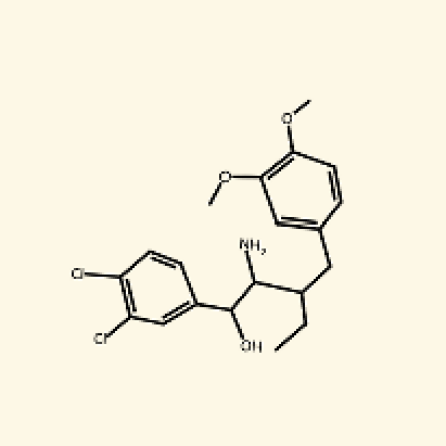 CCC(Cc1ccc(OC)c(OC)c1)C(N)C(O)c1ccc(Cl)c(Cl)c1